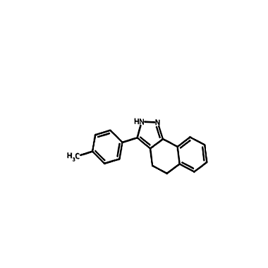 Cc1ccc(-c2[nH]nc3c2CCc2ccccc2-3)cc1